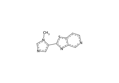 Cn1cncc1-c1nc2cnccc2s1